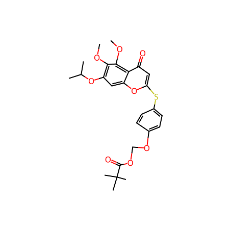 COc1c(OC(C)C)cc2oc(Sc3ccc(OCOC(=O)C(C)(C)C)cc3)cc(=O)c2c1OC